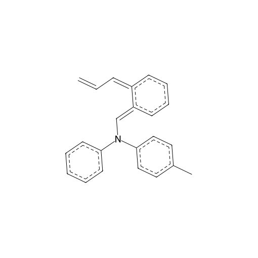 C=C/C=c1/cccc/c1=C\N(c1ccccc1)c1ccc(C)cc1